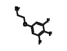 Fc1cc(OCCBr)cc(F)c1F